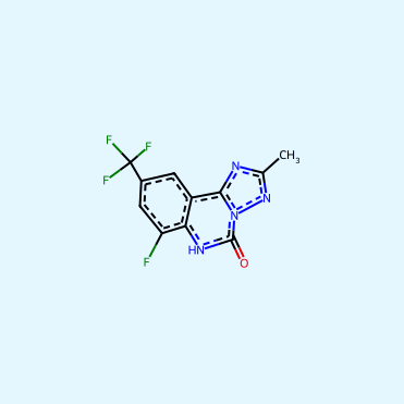 Cc1nc2c3cc(C(F)(F)F)cc(F)c3[nH]c(=O)n2n1